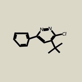 CC(C)(C)c1cc(-c2ccccc2)nnc1Cl